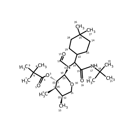 C[C@H]1[C@H](OC(=O)C(C)(C)C)[C@@H](N(C=O)C(C(=O)NC(C)(C)C)C2CCC(C)(C)CC2)OC[C@H]1C